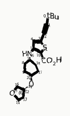 CC(C)(C)C#Cc1cc(N[C@H]2CC[C@H](O[C@@H]3CCOC3)CC2)c(C(=O)O)s1